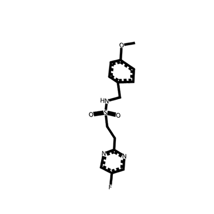 COc1ccc(CNS(=O)(=O)CCc2ncc(F)cn2)cc1